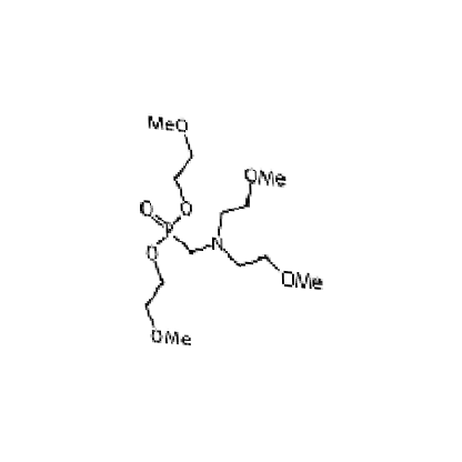 COCCOP(=O)(CN(CCOC)CCOC)OCCOC